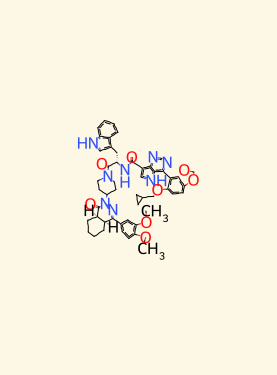 COc1ccc(C2=NN(C3CCN(C(=O)[C@H](Cc4c[nH]c5ccccc45)NC(=O)c4c[nH]c5c(-c6c(OCC7CC7)ccc7c6OCO7)ncnc45)CC3)C(=O)[C@@H]3CCCC[C@H]23)cc1OC